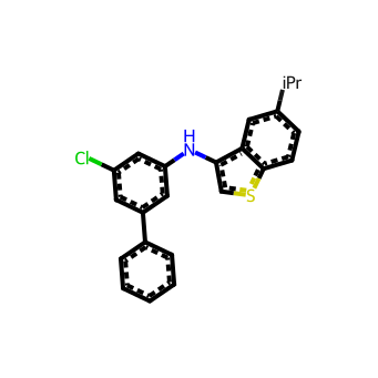 CC(C)c1ccc2scc(Nc3cc(Cl)cc(-c4ccccc4)c3)c2c1